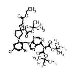 CCOC(=O)CCC1(NC(=O)OC(C)(C)C)CCN(c2cc(Cl)cc(Br)c2Cn2cnc3c(N(C(=O)OC(C)(C)C)C(=O)OC(C)(C)C)ncnc32)C1